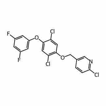 Fc1cc(F)cc(Oc2cc(Cl)c(OCc3ccc(Cl)nc3)cc2Cl)c1